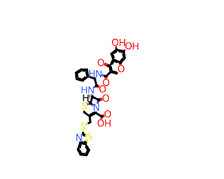 O=C(O)C1=C(CSc2nc3ccccc3s2)CS[C@H]2[C@H](NC(=O)C(NC(=O)c3coc4cc(O)c(O)cc4c3=O)c3ccccc3)C(=O)N12